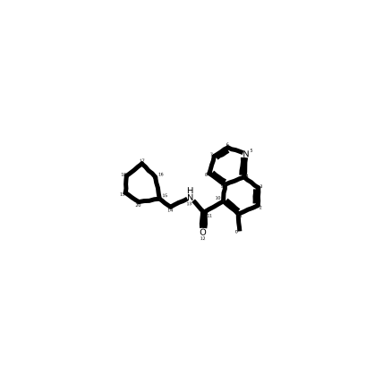 Cc1ccc2ncccc2c1C(=O)NCC1CCCCC1